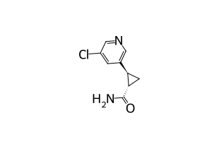 NC(=O)[C@H]1C[C@@H]1c1cncc(Cl)c1